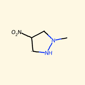 CN1CC([N+](=O)[O-])[CH]N1